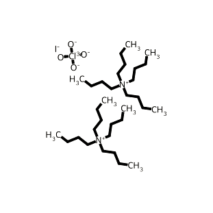 CCCC[N+](CCCC)(CCCC)CCCC.CCCC[N+](CCCC)(CCCC)CCCC.[I-].[O-][Cl+3]([O-])([O-])[O-]